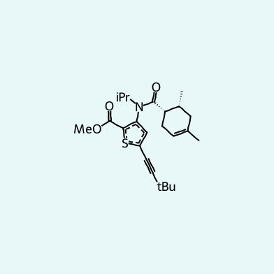 COC(=O)c1sc(C#CC(C)(C)C)cc1N(C(=O)[C@H]1CC=C(C)C[C@H]1C)C(C)C